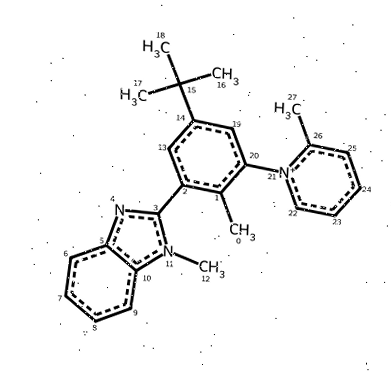 Cc1c(-c2nc3ccccc3n2C)cc(C(C)(C)C)cc1-[n+]1ccccc1C